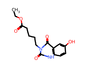 CCOC(=O)CCCCn1c(=O)[nH]c2ccc(O)cc2c1=O